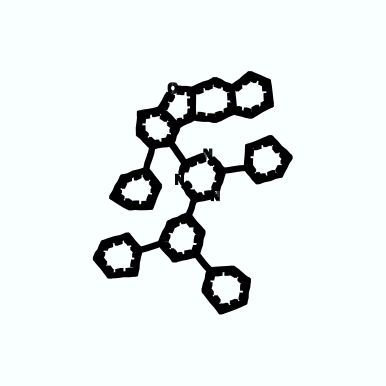 c1ccc(-c2cc(-c3ccccc3)cc(-c3nc(-c4ccccc4)nc(-c4c(-c5ccccc5)ccc5oc6cc7ccccc7cc6c45)n3)c2)cc1